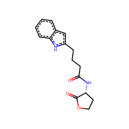 O=C(CCCc1cc2ccccc2[nH]1)N[C@@H]1CCOC1=O